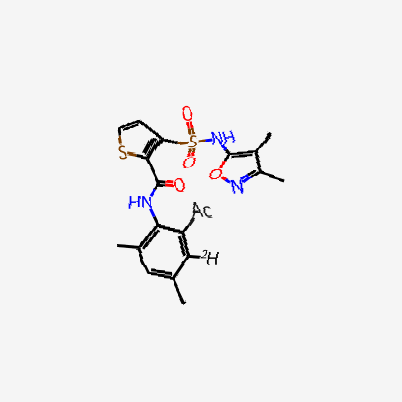 [2H]c1c(C)cc(C)c(NC(=O)c2sccc2S(=O)(=O)Nc2onc(C)c2C)c1C(C)=O